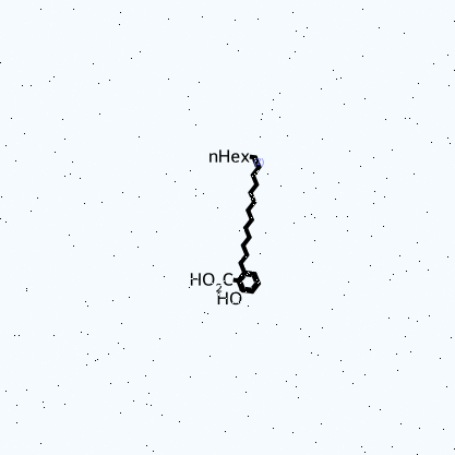 CCCCCC/C=C\CCCCCCCCCCCc1cccc(O)c1C(=O)O